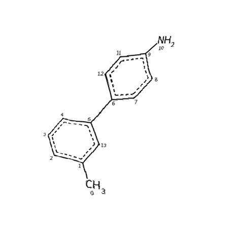 Cc1cccc(-c2ccc(N)cc2)c1